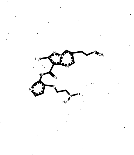 C=NCCc1cnc2c(C(=O)Nc3cnccc3OCCN(C)C)c(N)nn2c1